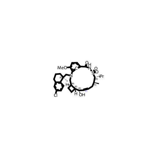 COc1ccc2cc1N(C[C@]1(C)CCCc3cc(Cl)ccc31)C[C@@H]1CC[C@H]1[C@@H](O)/C=C/C[C@H](C)[C@@H](C(C)C)S(=O)(=O)NC2=O